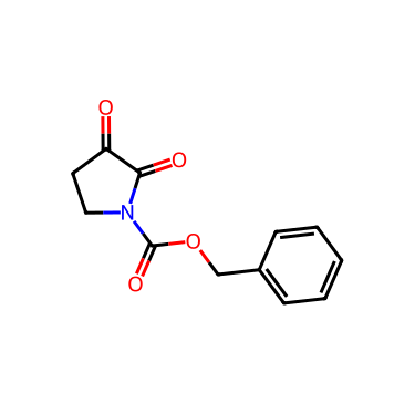 O=C1CCN(C(=O)OCc2ccccc2)C1=O